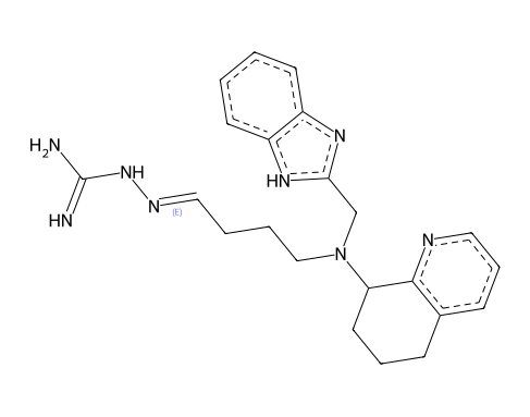 N=C(N)N/N=C/CCCN(Cc1nc2ccccc2[nH]1)C1CCCc2cccnc21